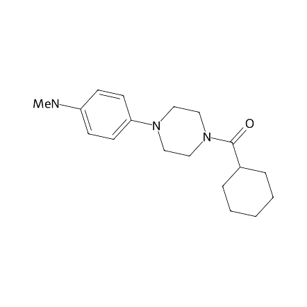 CNc1ccc(N2CCN(C(=O)C3CCCCC3)CC2)cc1